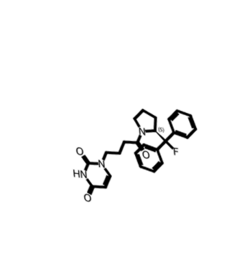 O=C(CCCn1ccc(=O)[nH]c1=O)N1CCC[C@H]1C(F)(c1ccccc1)c1ccccc1